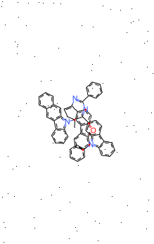 CC1C/C=C(c2ccc3oc4ccccc4c3c2-n2c3ccccc3c3cc4ccccc4cc32)/N=C(c2ccccc2)\N=C/1c1ccc2c3ccccc3n(-c3ccccc3)c2c1